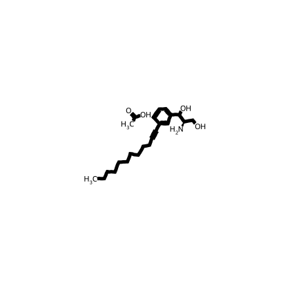 CC(=O)O.CCCCCCCCCCC#Cc1cccc(C(O)[C@H](N)CO)c1